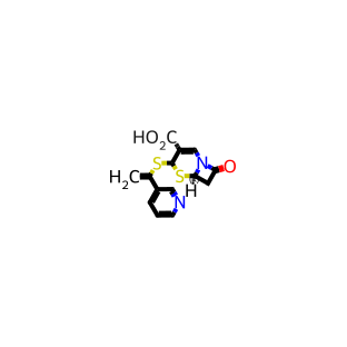 C=C(SC1S[C@@H]2CC(=O)N2C=C1C(=O)O)c1cccnc1